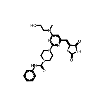 CN(CCO)c1cc(/C=C2\SC(=O)NC2=O)nc(N2CCN(C(=O)Nc3ccccc3)CC2)n1